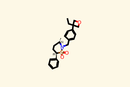 CCC1(c2ccc(CN3[C@@H](C)CC[C@H](c4ccccc4)S3(=O)=O)cc2)COC1